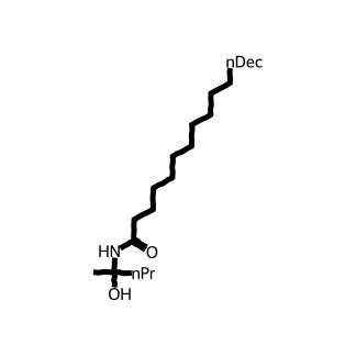 CCCCCCCCCCCCCCCCCCCCC(=O)NC(C)(O)CCC